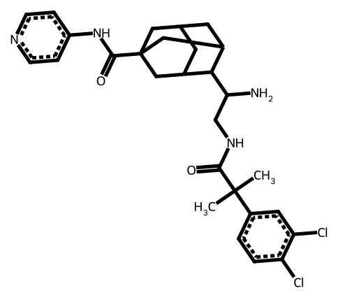 CC(C)(C(=O)NCC(N)C1C2CC3CC1CC(C(=O)Nc1ccncc1)(C3)C2)c1ccc(Cl)c(Cl)c1